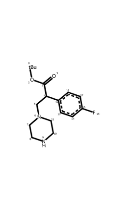 CC(C)(C)OC(=O)C(CN1CCNCC1)c1ccc(F)cc1